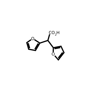 O=C(O)C(c1ccco1)c1ccco1